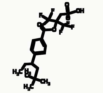 CCC(CC(C)(C)C)c1ccc(C(=O)OC(CS(=O)(=O)O)(C(F)(F)F)C(F)(F)F)cc1